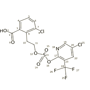 O=C(O)c1cccc(Cl)c1CCOS(=O)(=O)Oc1ncc(Cl)cc1C(F)(F)F